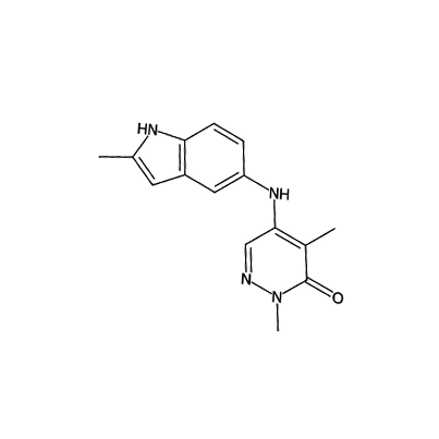 Cc1cc2cc(Nc3cnn(C)c(=O)c3C)ccc2[nH]1